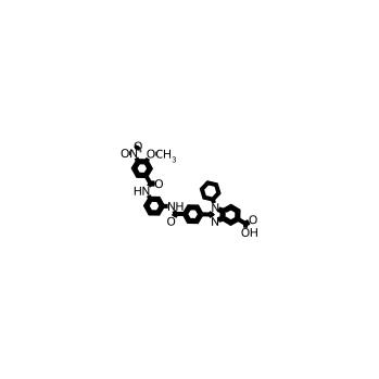 COc1cc(C(=O)Nc2cccc(NC(=O)c3ccc(-c4nc5cc(C(=O)O)ccc5n4C4CCCCC4)cc3)c2)ccc1[N+](=O)[O-]